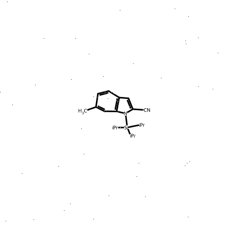 Cc1ccc2cc(C#N)n([Si](C(C)C)(C(C)C)C(C)C)c2c1